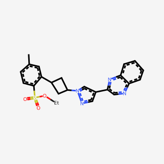 CCOS(=O)(=O)c1ccc(C)cc1C1CC(n2cc(-c3cnc4ccccc4n3)cn2)C1